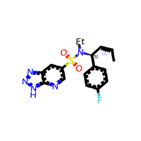 C/C=C\[C@@H](c1ccc(F)cc1)N(CC)S(=O)(=O)c1cnc2[nH]nnc2c1